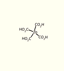 O=[C](O)[Zn]([C](=O)O)([C](=O)O)[C](=O)O